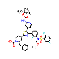 COCN(c1cccc(-c2nc(C3CCN(C(=O)O)C(Cc4ccccc4)C3)sc2-c2ccnc(NC(=O)OC(C)(C)C)c2)c1F)S(=O)(=O)c1cc(F)ccc1F